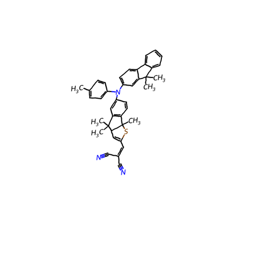 Cc1ccc(N(c2ccc3c(c2)C(C)(C)c2ccccc2-3)c2ccc3c(c2)C(C)(C)C2C=C(C=C(C#N)C#N)SC32C)cc1